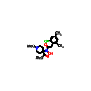 COC(=O)C1(N(O)C(=O)Cc2c(C)cc(C)cc2Cl)CCN(OC)CC1